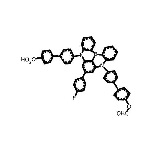 O=COc1ccc(-c2ccc(N3c4ccccc4B4c5ccccc5N(c5ccc(-c6ccc(C(=O)O)cc6)cc5)c5cc(-c6ccc(F)cc6)cc3c54)cc2)cc1